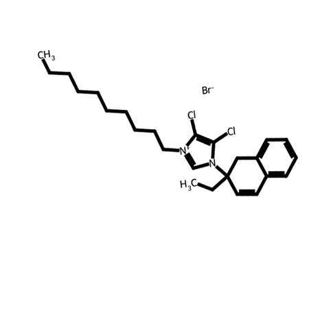 CCCCCCCCCC[n+]1cn(C2(CC)C=Cc3ccccc3C2)c(Cl)c1Cl.[Br-]